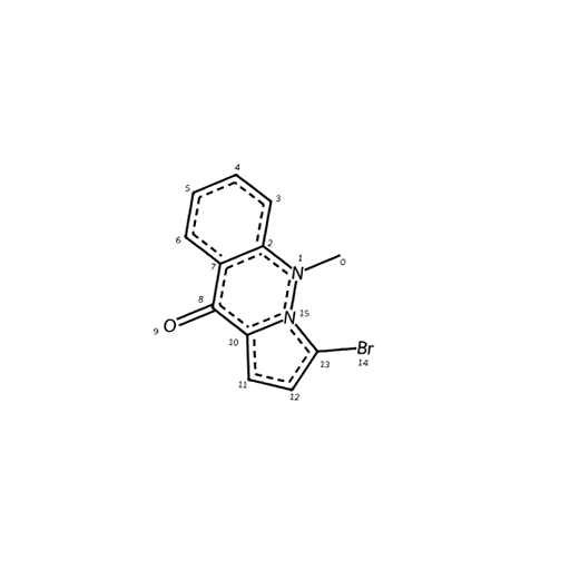 Cn1c2ccccc2c(=O)c2ccc(Br)n21